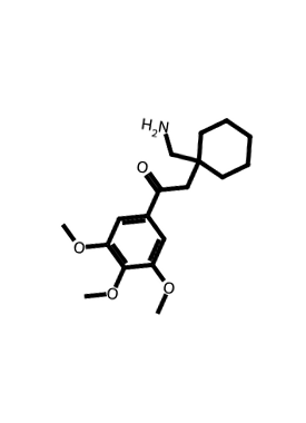 COc1cc(C(=O)CC2(CN)CCCCC2)cc(OC)c1OC